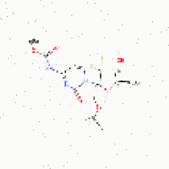 CCCCOC(=O)Nc1ccn([C@]2(CO[SiH](C)C)O[C@H](C(C)(C)C)[C@@H](O)C2(F)F)c(=O)n1